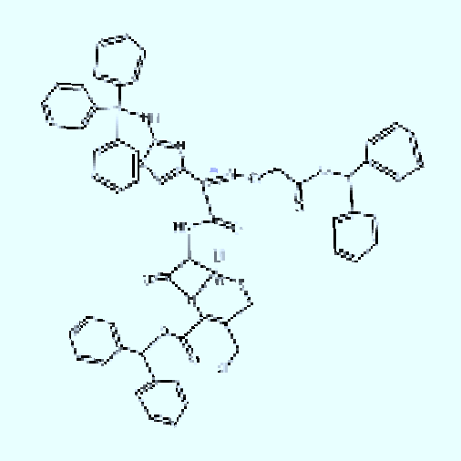 O=C(CO/N=C(\C(=O)NC1C(=O)N2C(C(=O)OC(c3ccccc3)c3ccccc3)=C(CCl)CS[C@H]12)c1csc(NC(c2ccccc2)(c2ccccc2)c2ccccc2)n1)OC(c1ccccc1)c1ccccc1